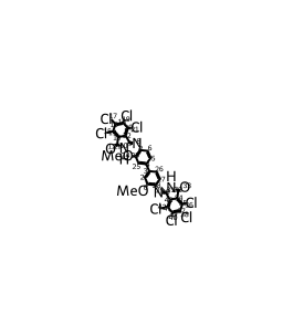 COc1cc(-c2ccc(/N=C3\NC(=O)c4c(Cl)c(Cl)c(Cl)c(Cl)c43)c(OC)c2)ccc1/N=C1\NC(=O)c2c(Cl)c(Cl)c(Cl)c(Cl)c21